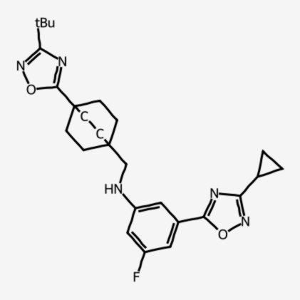 CC(C)(C)c1noc(C23CCC(CNc4cc(F)cc(-c5nc(C6CC6)no5)c4)(CC2)CC3)n1